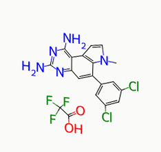 Cn1ccc2c3c(N)nc(N)nc3cc(-c3cc(Cl)cc(Cl)c3)c21.O=C(O)C(F)(F)F